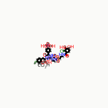 O=C(NCCCS(=O)(=O)N1CCN(C(=O)NC(C(=O)NC2Cc3ccc(F)c(C(=O)O)c3OB2O)c2ccc(P(=O)(O)O)cc2)C1=O)c1ccc(O)c(O)c1Cl